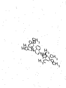 C#CCN(c1ccc(NSc2c(C)cc(OC)c(C)c2C)c2ccccc12)[C@@H](C)CC(=O)OC